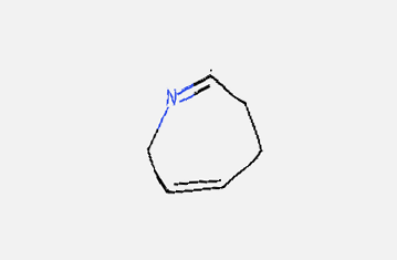 [C]1=NCC=CCC1